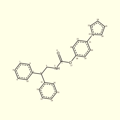 O=C(NCC(c1ccccc1)c1ccccc1)Oc1ccc(-n2cccc2)cc1